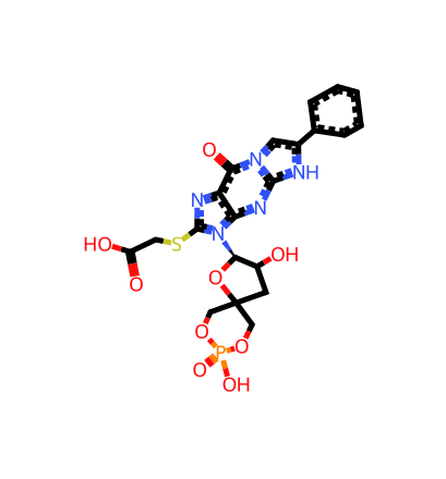 O=C(O)CSc1nc2c(=O)n3cc(-c4ccccc4)[nH]c3nc2n1[C@@H]1OC2(COP(=O)(O)OC2)CC1O